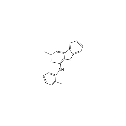 Cc1cc(Nc2ccccc2C)c2sc3ccccc3c2c1